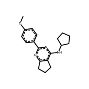 COc1ccc(-c2nc3c(c(NC4CCCC4)n2)CCC3)cc1